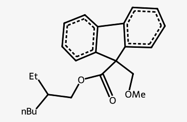 CCCCC(CC)COC(=O)C1(COC)c2ccccc2-c2ccccc21